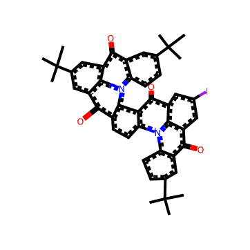 CC(C)(C)c1ccc2c(c1)c(=O)c1cc(I)cc3c(=O)c4c(ccc5c(=O)c6cc(C(C)(C)C)cc7c(=O)c8cc(C(C)(C)C)ccc8n(c76)c54)n2c13